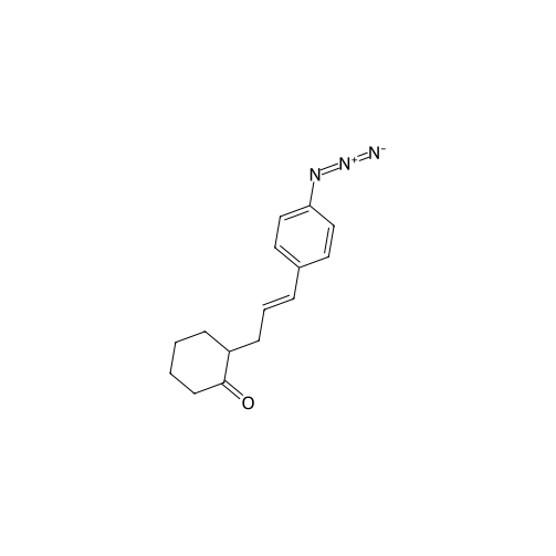 [N-]=[N+]=Nc1ccc(C=CCC2CCCCC2=O)cc1